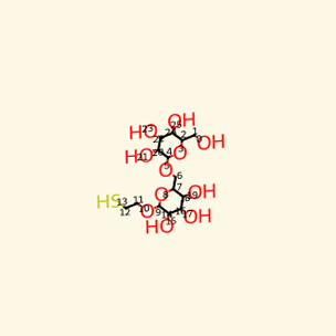 OCC1OC(OCC2OC(OCCS)C(O)C(O)C2O)C(O)C(O)C1O